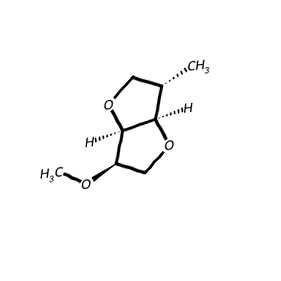 CO[C@@H]1CO[C@H]2[C@@H]1OC[C@@H]2C